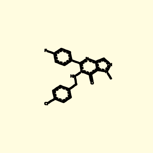 Cn1ncc2nc(-c3ccc(F)cc3)n(NCc3ccc(Cl)cc3)c(=O)c21